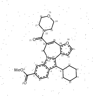 COC(=O)c1ccc2c(C3CCCCC3)c3n(c2c1)CC(C(=O)N1CCOCC1)=Cc1occc1-3